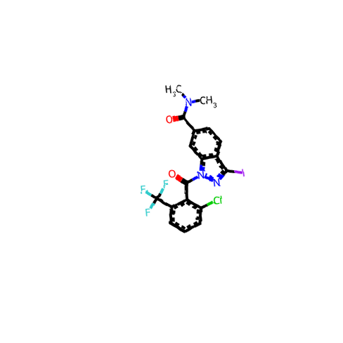 CN(C)C(=O)c1ccc2c(I)nn(C(=O)c3c(Cl)cccc3C(F)(F)F)c2c1